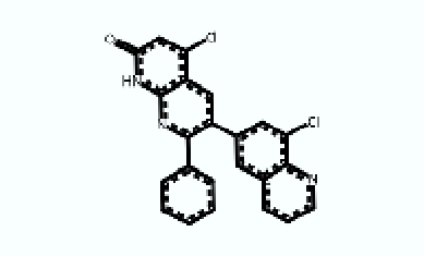 O=c1cc(Cl)c2cc(-c3cc(Cl)c4ncccc4c3)c(-c3ccccc3)nc2[nH]1